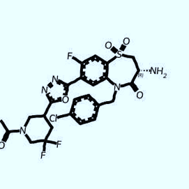 CC(=O)N1CC(c2nnc(-c3cc4c(cc3F)S(=O)(=O)C[C@H](N)C(=O)N4Cc3ccc(Cl)cc3)o2)CC(F)(F)C1